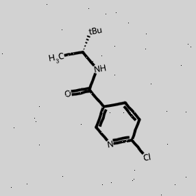 C[C@@H](NC(=O)c1ccc(Cl)nc1)C(C)(C)C